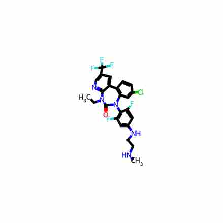 CCN1C(=O)N(c2c(F)cc(NCCNC)cc2F)c2cc(Cl)ccc2-c2cc(C(F)(F)F)cnc21